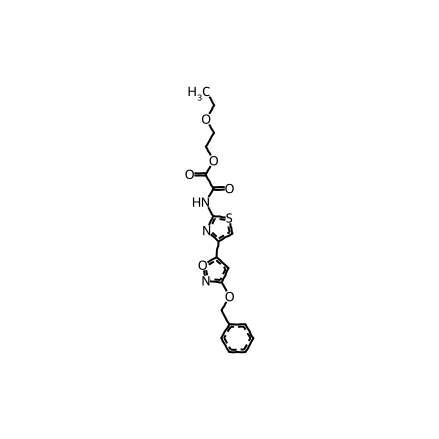 CCOCCOC(=O)C(=O)Nc1nc(-c2cc(OCc3ccccc3)no2)cs1